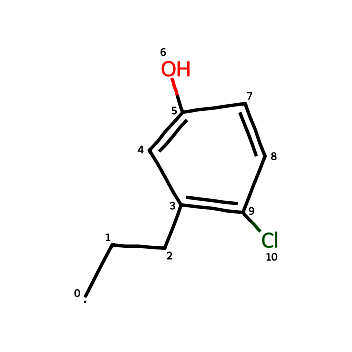 [CH2]CCc1cc(O)ccc1Cl